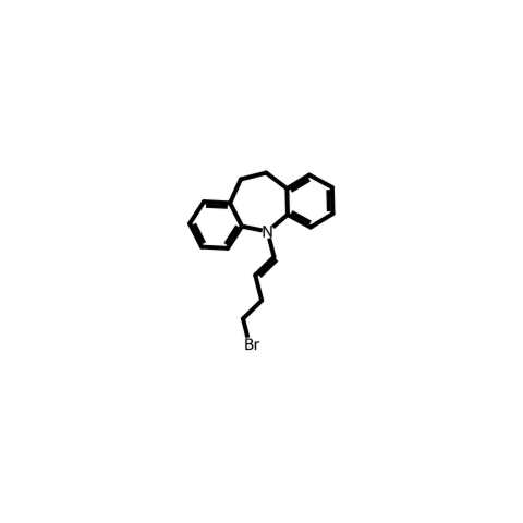 BrCC/C=C/N1c2ccccc2CCc2ccccc21